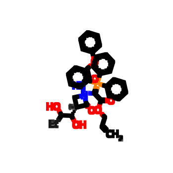 C=CCOC(=O)C([N+]1(NC(=O)COc2ccccc2)C[C@@H](C(O)C(O)CC)C1=O)=P(c1ccccc1)(c1ccccc1)c1ccccc1